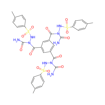 Cc1ccc(S(=O)(=O)NN(C(N)=O)C(=O)c2cc(C(=O)N(NS(=O)(=O)c3ccc(C)cc3)C(N)=O)cc(C(=O)N(NS(=O)(=O)c3ccc(C)cc3)C(N)=O)c2)cc1